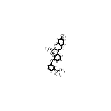 CN(C)c1cccc(Oc2cccc(N(Cc3ccc(C(F)(F)F)cc3F)C[C@@H](O)C(F)(F)F)c2)c1